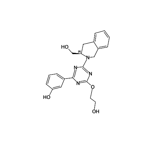 OCCOc1nc(-c2cccc(O)c2)nc(N2Cc3ccccc3C[C@@H]2CO)n1